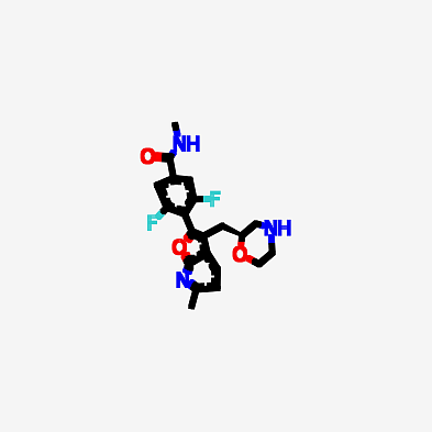 CNC(=O)c1cc(F)c(-c2oc3nc(C)ccc3c2C[C@H]2CNCCO2)c(F)c1